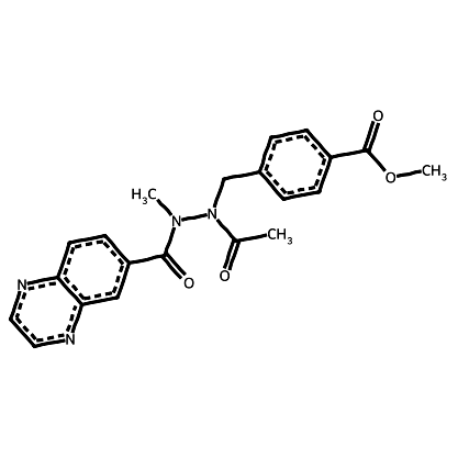 COC(=O)c1ccc(CN(C(C)=O)N(C)C(=O)c2ccc3nccnc3c2)cc1